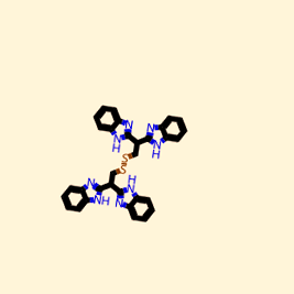 c1ccc2[nH]c(C(CSSCC(c3nc4ccccc4[nH]3)c3nc4ccccc4[nH]3)c3nc4ccccc4[nH]3)nc2c1